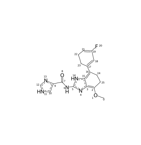 COC1=c2nc(NC(=O)c3c[nH]cn3)[nH]c2=C(C2=CC(F)=CCC2)CC1